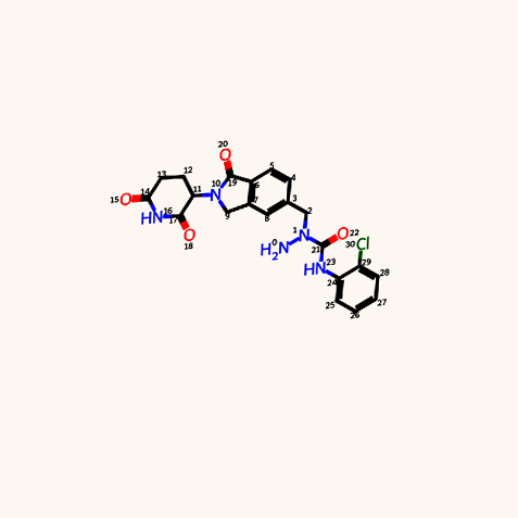 NN(Cc1ccc2c(c1)CN(C1CCC(=O)NC1=O)C2=O)C(=O)Nc1ccccc1Cl